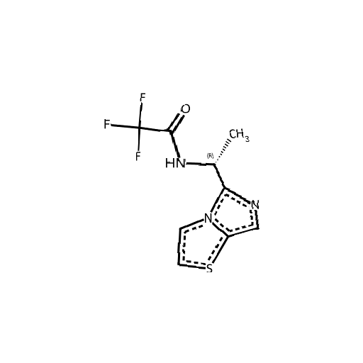 C[C@@H](NC(=O)C(F)(F)F)c1ncc2sccn12